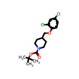 CC(C)(C)OC(=O)N1CCC(COc2ccc(Cl)cc2Cl)CC1